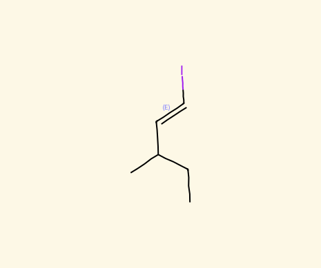 CCC(C)/C=C/I